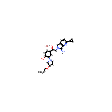 Br.N=C1c2nc(C3CC3)ccc2CN1CC(=O)c1ccc(O)c(N2CCC(OCC(=O)O)C2)c1